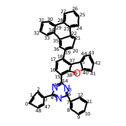 c1ccc(-c2nc(-c3ccccc3)nc(-c3ccc(-c4ccc5c6ccccc6c6ccccc6c5c4)c4c3oc3ccccc34)n2)cc1